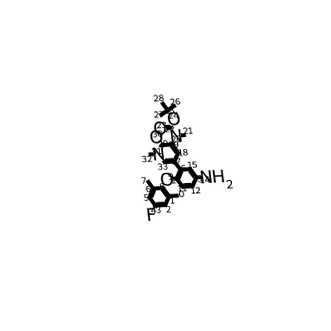 Cc1cc(F)cc(C)c1Oc1ccc(N)cc1-c1cc(N(C)C(=O)OC(C)(C)C)c(=O)n(C)c1